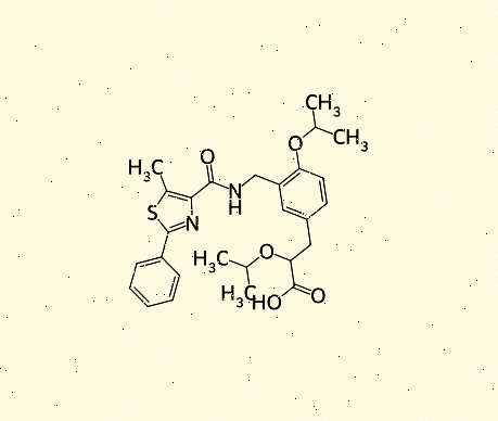 Cc1sc(-c2ccccc2)nc1C(=O)NCc1cc(CC(OC(C)C)C(=O)O)ccc1OC(C)C